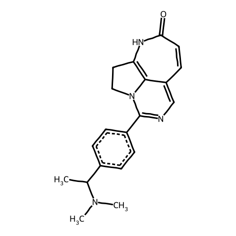 CC(c1ccc(C2=NC=C3C=CC(=O)NC4=C3N2CC4)cc1)N(C)C